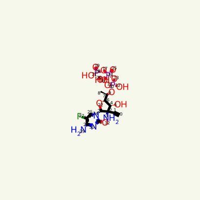 C#CC1(N)[C@@H](O)[C@@H]([C@@H](C)OP(=O)(O)OP(=O)(O)OP(=O)(O)O)O[C@H]1n1cc(F)c(N)nc1=O